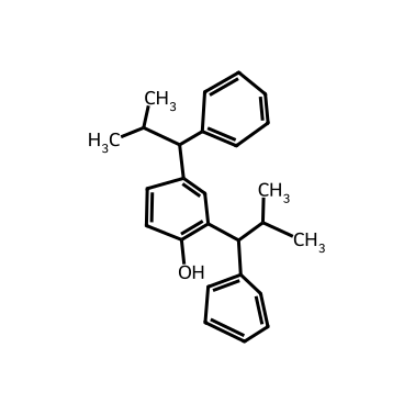 CC(C)C(c1ccccc1)c1ccc(O)c(C(c2ccccc2)C(C)C)c1